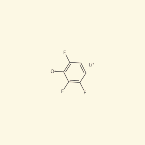 [Li+].[O-]c1c(F)ccc(F)c1F